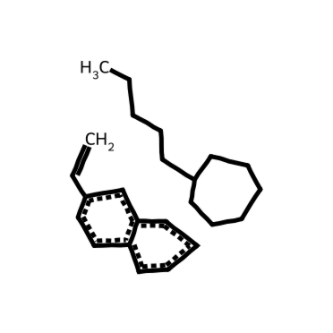 C=Cc1ccc2ccccc2c1.CCCCCC1CCCCCC1